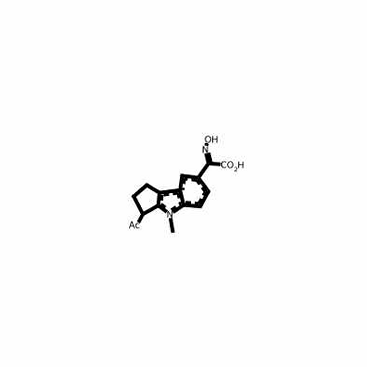 CC(=O)C1CCc2c1n(C)c1ccc(C(=NO)C(=O)O)cc21